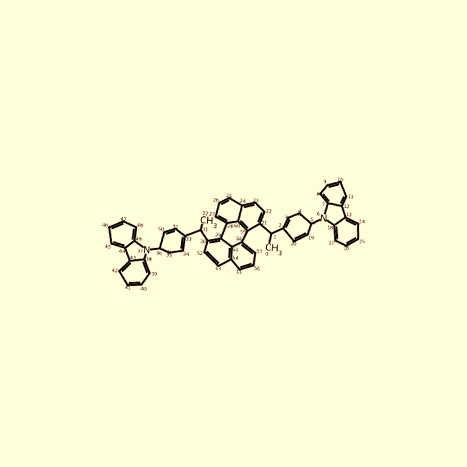 CC(C1=C[C][C](n2c3ccccc3c3ccccc32)C=C1)c1ccc2cccc3c4c(C(C)C5=C[C][C](n6c7ccccc7c7ccccc76)C=C5)ccc5cccc(c1c23)c54